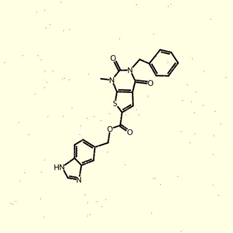 Cn1c(=O)n(Cc2ccccc2)c(=O)c2cc(C(=O)OCc3ccc4[nH]cnc4c3)sc21